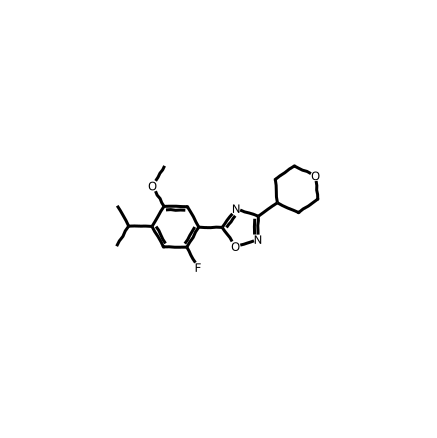 COc1cc(-c2nc(C3CCOCC3)no2)c(F)cc1C(C)C